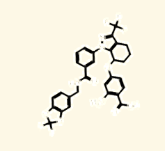 Cc1cc(OC2CCCc3c(C(F)(F)F)nn(-c4cccc(C(=O)NCc5ccc6c(c5)OC(F)(F)O6)c4)c32)ccc1C(=O)O